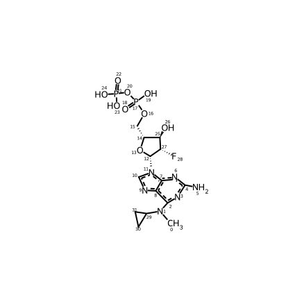 CN(c1nc(N)nc2c1ncn2[C@@H]1O[C@H](COP(=O)(O)OP(=O)(O)O)[C@@H](O)[C@@H]1F)C1CC1